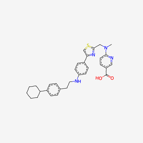 CN(Cc1nc(-c2ccc(NCCc3ccc(C4CCCCC4)cc3)cc2)cs1)c1ccc(C(=O)O)cn1